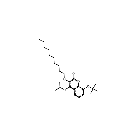 CCCCCCCCCCOc1c(OC(C)C)c2cccc(OC(C)(C)C)c2oc1=O